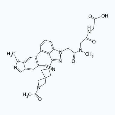 CC(=O)N1CC2(CC(c3nn(CC(=O)N(C)CC(=O)NCC(=O)O)c4cccc(-c5cc6c(cnn6C)cc5C#N)c34)C2)C1